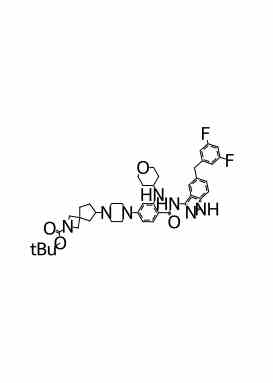 CC(C)(C)OC(=O)N1CC2(CCC(N3CCN(c4ccc(C(=O)Nc5n[nH]c6ccc(Cc7cc(F)cc(F)c7)cc56)c(NC5CCOCC5)c4)CC3)C2)C1